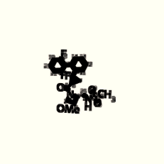 CO[C@@H]1CN(C(=O)[C@@H]2C[C@@]2(F)c2ccccc2-c2c(F)cccc2F)[C@@H]1CNS(C)(=O)=O